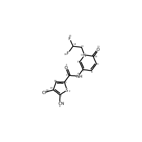 N#Cc1sc(C(=O)Nc2ccc(=O)n(CC(F)F)c2)cc1Cl